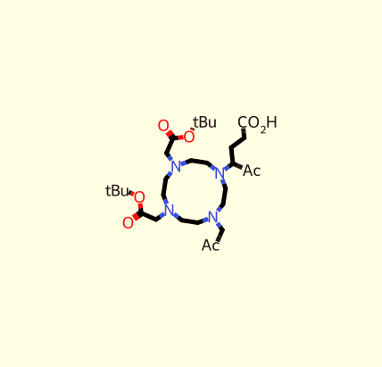 CC(=O)CN1CCN(CC(=O)OC(C)(C)C)CCN(CC(=O)OC(C)(C)C)CCN(C(CCC(=O)O)C(C)=O)CC1